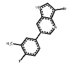 Cc1cc(-c2cnc3c(Br)c[nH]c3c2)ccc1F